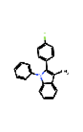 Cc1c(-c2ccc(F)cc2)n(-c2ccccc2)c2ccccc12